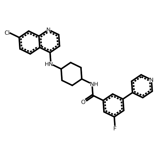 O=C(NC1CCC(Nc2ccnc3cc(Cl)ccc23)CC1)c1cc(F)cc(-c2ccncc2)c1